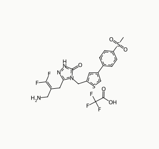 CS(=O)(=O)c1ccc(-c2csc(Cn3c(CC(CN)=C(F)F)n[nH]c3=O)c2)cc1.O=C(O)C(F)(F)F